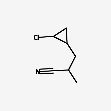 CC(C#N)CC1CC1Cl